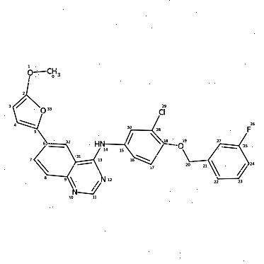 COc1ccc(-c2ccc3ncnc(Nc4ccc(OCc5cccc(F)c5)c(Cl)c4)c3c2)o1